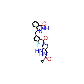 N=C1CN(C(=O)c2cc(Cc3n[nH]c(=O)c4ccccc34)ccc2F)CC/C1=C/NC(=O)C1CC1